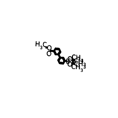 CCOC(=O)c1cccc(-c2cccc(B3OC(C)(C)C(C)(C)O3)c2)c1